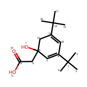 CC(C)(C)C1=CC(O)(CC(=O)O)CC(C(C)(C)C)=C1